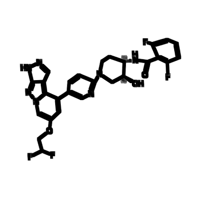 O=C(N[C@H]1CCN(c2ccc(-c3cc(OCC(F)F)cn4nc5[nH]ncc5c34)cn2)C[C@@H]1O)c1c(F)cccc1F